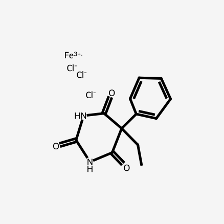 CCC1(c2ccccc2)C(=O)NC(=O)NC1=O.[Cl-].[Cl-].[Cl-].[Fe+3]